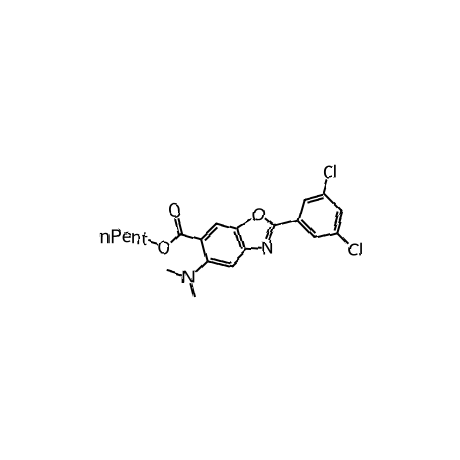 CCCCCOC(=O)c1cc2oc(-c3cc(Cl)cc(Cl)c3)nc2cc1N(C)C